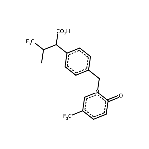 CC(C(C(=O)O)c1ccc(Cn2cc(C(F)(F)F)ccc2=O)cc1)C(F)(F)F